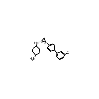 NC1CCC(N[C@@H]2C[C@H]2c2ccc(-c3cccc(Cl)c3)cc2)CC1